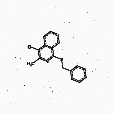 Cc1nc(SCc2ccccc2)c2ccccc2c1Cl